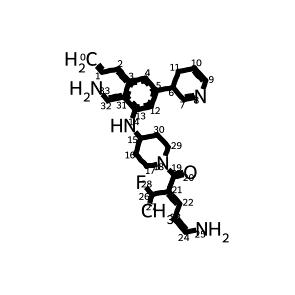 C=C/C=c1/cc(C2C=NC=CC2)cc(NC2CCN(C(=O)/C(=C/C=C\N)C(C)F)CC2)/c1=C/N